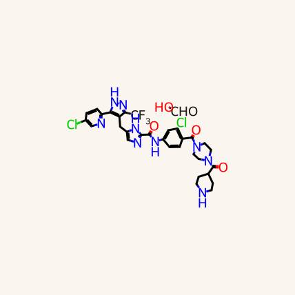 O=C(Nc1ccc(C(=O)N2CCN(C(=O)C3CCNCC3)CC2)c(Cl)c1)c1ncc(Cc2c(C(F)(F)F)n[nH]c2-c2ccc(Cl)cn2)[nH]1.O=CO